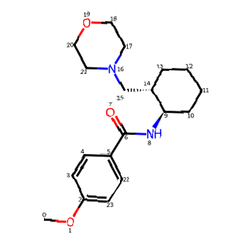 COc1ccc(C(=O)N[C@@H]2CCCC[C@H]2CN2CCOCC2)cc1